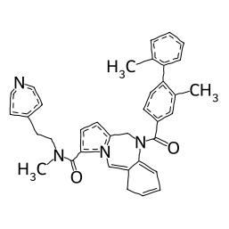 Cc1ccccc1-c1ccc(C(=O)N2Cc3ccc(C(=O)N(C)CCc4ccncc4)n3C=C3CC=CC=C32)cc1C